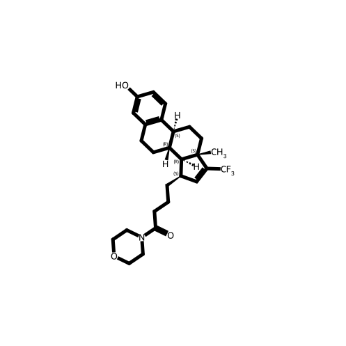 C[C@]12CC[C@@H]3c4ccc(O)cc4CC[C@H]3[C@@H]1[C@H](CCCC(=O)N1CCOCC1)C=C2C(F)(F)F